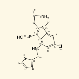 C[C@H](N)Cc1c(F)c2c(NCc3cccs3)nc(Cl)nc2n1C.Cl